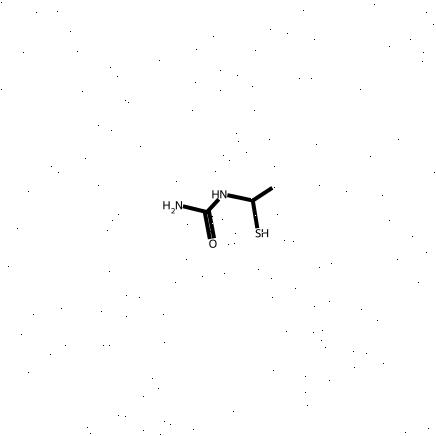 CC(S)NC(N)=O